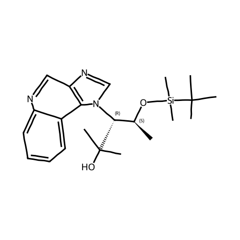 C[C@H](O[Si](C)(C)C(C)(C)C)[C@@H](n1cnc2cnc3ccccc3c21)C(C)(C)O